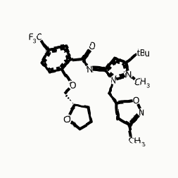 CC1=NOC(Cn2c(=NC(=O)c3cc(C(F)(F)F)ccc3OC[C@@H]3CCCO3)cc(C(C)(C)C)n2C)C1